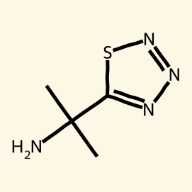 CC(C)(N)c1nnns1